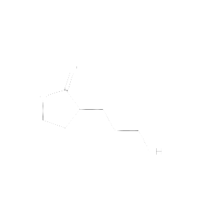 O=C1OCCC1CCC[SiH3]